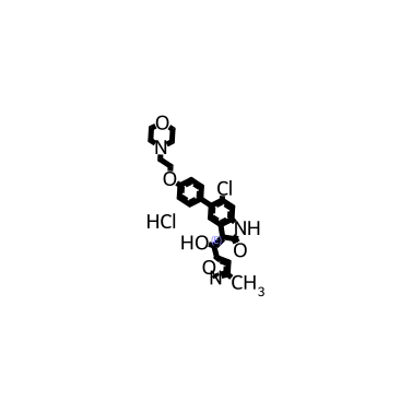 Cc1cc(/C(O)=C2\C(=O)Nc3cc(Cl)c(-c4ccc(OCCN5CCOCC5)cc4)cc32)on1.Cl